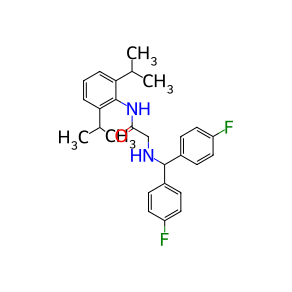 CC(C)c1cccc(C(C)C)c1NC(=O)CNC(c1ccc(F)cc1)c1ccc(F)cc1